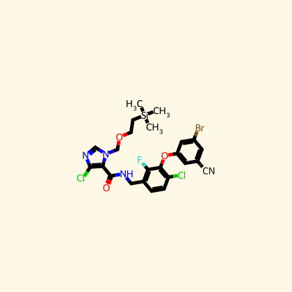 C[Si](C)(C)CCOCn1cnc(Cl)c1C(=O)NCc1ccc(Cl)c(Oc2cc(Br)cc(C#N)c2)c1F